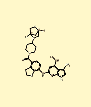 CCNc1cc(Nc2ccc(C(=O)N3CCC(N4C[C@@H]5C[C@H]4CO5)CC3)c3c2OCC3)nc2[nH]cc(C(F)(F)F)c12